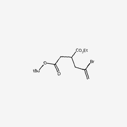 C=C(Br)CC(CC(=O)OC(C)(C)C)C(=O)OCC